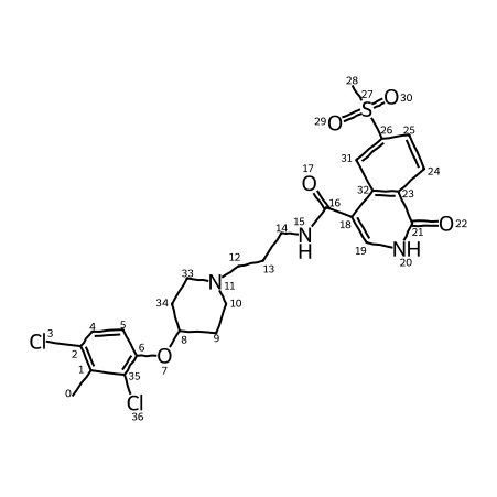 Cc1c(Cl)ccc(OC2CCN(CCCNC(=O)c3c[nH]c(=O)c4ccc(S(C)(=O)=O)cc34)CC2)c1Cl